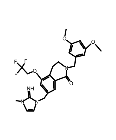 COc1cc(CN2CCc3c(OCC(F)(F)F)cc(Cn4ccn(C)c4=N)cc3C2=O)cc(OC)c1